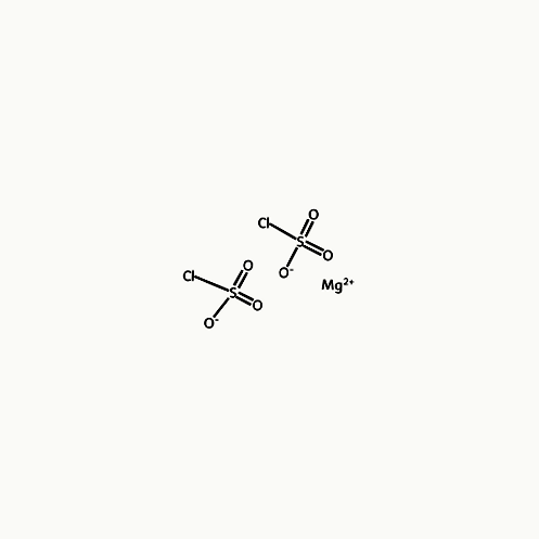 O=S(=O)([O-])Cl.O=S(=O)([O-])Cl.[Mg+2]